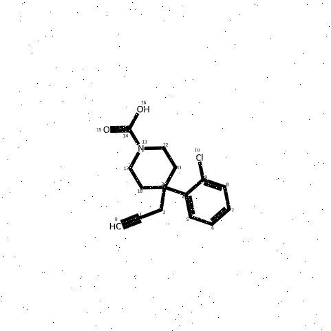 C#CCC1(c2ccccc2Cl)CCN(C(=O)O)CC1